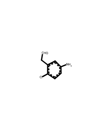 Nc1ccc(Cl)c(CC=O)c1